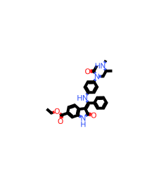 CCOC(=O)c1ccc2c(c1)NC(=O)C2=C(Nc1ccc(N(CC(C)NC)C(C)=O)cc1)c1ccccc1